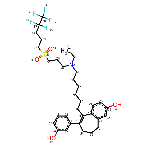 CCN(CCCCCCC1=C(c2cccc(O)c2)CCCc2cc(O)ccc21)CCCS(=O)(=O)CCCC(F)(F)C(F)(F)F